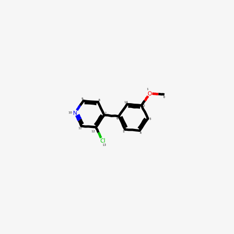 COc1cccc(-c2ccncc2Cl)c1